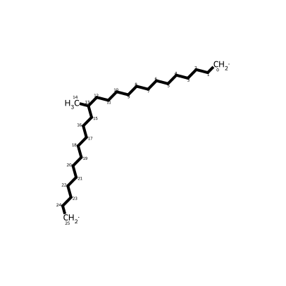 [CH2]CCCCCCCCCCCCC(C)CCCCCCCCCC[CH2]